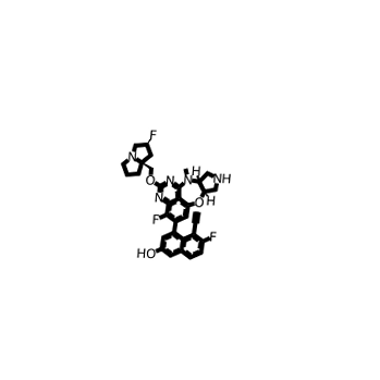 C#Cc1c(F)ccc2cc(O)cc(-c3cc4c5c(nc(OC[C@@]67CCCN6C[C@H](F)C7)nc5c3F)N(C)[C@@H]3CNC[C@H]3O4)c12